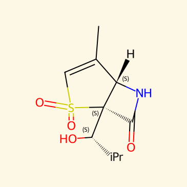 CC1=CS(=O)(=O)[C@@]2([C@@H](O)C(C)C)C(=O)N[C@@H]12